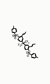 CC=Cc1cc(C(c2ccc(OS(=O)(=O)c3ccc(C)cc3)c(C=CC)c2)(C(F)(F)F)C(F)(F)F)ccc1OS(=O)(=O)c1ccc(C)cc1